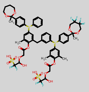 Cc1cc([S+](c2ccc(C3(C)OCC(F)(F)C(F)(F)CO3)cc2)c2cccc(Cc3cc([S+](c4ccccc4)c4ccc(C5(C)OCCCCO5)cc4)cc(C)c3OC(=O)COC(O)C(F)(F)S(=O)(=O)O)c2)cc(C)c1OC(=O)COC(O)C(F)(F)S(=O)(=O)O